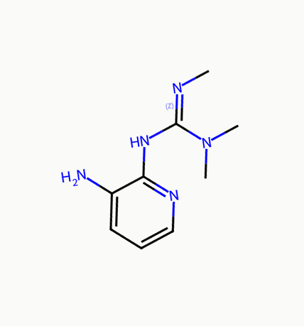 C/N=C(/Nc1ncccc1N)N(C)C